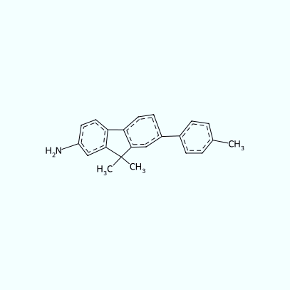 Cc1ccc(-c2ccc3c(c2)C(C)(C)c2cc(N)ccc2-3)cc1